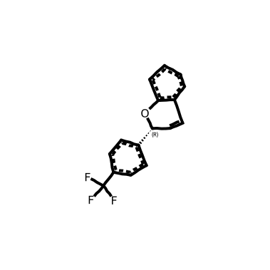 FC(F)(F)c1ccc([C@H]2C=Cc3ccccc3O2)cc1